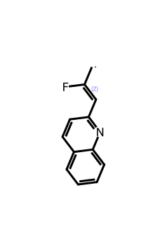 [CH2]/C(F)=C/c1ccc2ccccc2n1